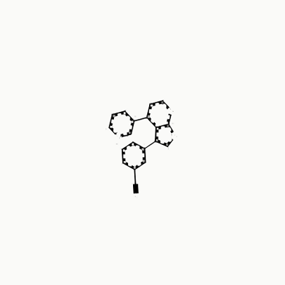 N#Cc1cccc(-c2c[nH]c3nccc(-c4cccnc4)c23)c1